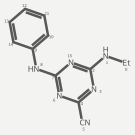 CCNc1nc(C#N)nc(Nc2ccccc2)n1